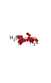 C=CC1=CC=C(OC2C=CC(C3(C4=C(F)CCC=C4F)C4=C(C=CCC4)C4CCC(N(C5=CCC(C6=CC=CC(c7ccccc7)C6)C=C5)C5C=CC6c7ccc(N(C8=CC9C(C=C8)c8ccccc8C9(C8=CC=C(OC9C=CC(C=C)CC9)CC8)C8=C(F)CCC=C8F)c8ccc(-c9cccc(-c%10ccccc%10)c9)cc8)cc7OC6C5)=CC43)=CC2)CC1